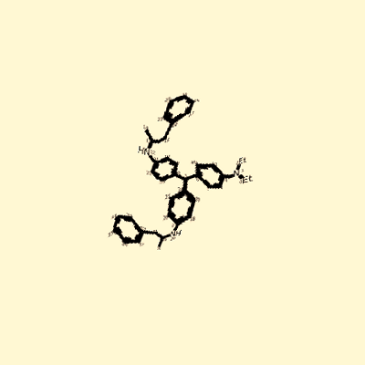 CCN(CC)c1ccc(C(c2ccc(NC(C)Cc3ccccc3)cc2)c2ccc(NC(C)Cc3ccccc3)cc2)cc1